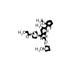 C=CC(=O)N1CCN(c2nc(OC[C@@H]3CCCN3C)nc3nc(-c4c(F)cccc4OC)c(C)cc23)CC1